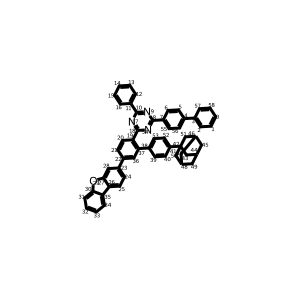 c1ccc(-c2ccc(-c3nc(-c4ccccc4)nc(-c4ccc(-c5ccc6c(c5)oc5ccccc56)cc4-c4ccc(C56CC7CC(CC(C7)C5)C6)cc4)n3)cc2)cc1